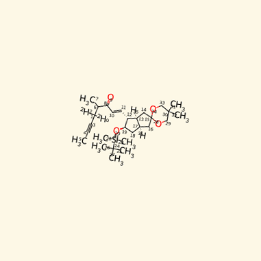 [2H]C([2H])(C#CC)C(C)C(=O)/C=C/[C@@H]1[C@H]2CC3(C[C@H]2C[C@H]1O[Si](C)(C)C(C)(C)C)OCC(C)(C)CO3